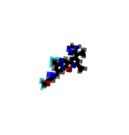 Cn1cnnc1[C@H](c1cc(-c2cnc3c(C(F)(F)F)cc(CNCCOC(F)F)cn3c2=O)nc(C2CC2)c1)C1CC1